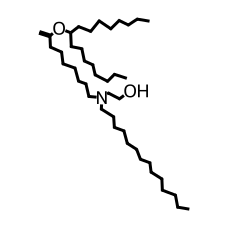 C=C(CCCCCCCN(CCO)CCCCCCCCCCCCCC)OC(CCCCCCCC)CCCCCCCC